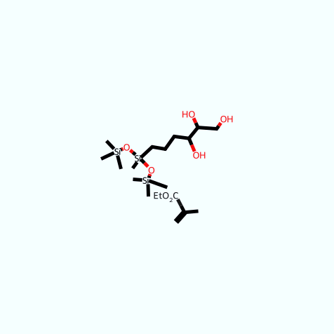 C=C(C)C(=O)OCC.C[Si](C)(C)O[Si](C)(CCCC(O)C(O)CO)O[Si](C)(C)C